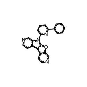 c1ccc(-c2cccc(-n3c4cnccc4c4c5ccncc5oc43)n2)cc1